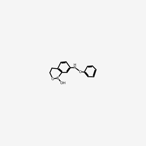 OB1OCCc2ccc(NOc3ccccc3)cc21